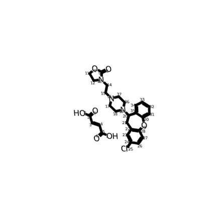 O=C(O)C=CC(=O)O.O=C1OCCN1CCN1CCN(C2Cc3cc(Cl)ccc3Oc3ccccc32)CC1